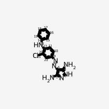 Nc1n[nH]c(N)c1N=Nc1ccc(Nc2ccccc2)c(Cl)c1